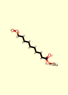 CC(C)(C)OC(=O)CCCCCCCCCO[O]